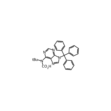 CC(C)(C)N(C(=O)O)c1ncnc2c1ncn2C(c1ccccc1)(c1ccccc1)c1ccccc1